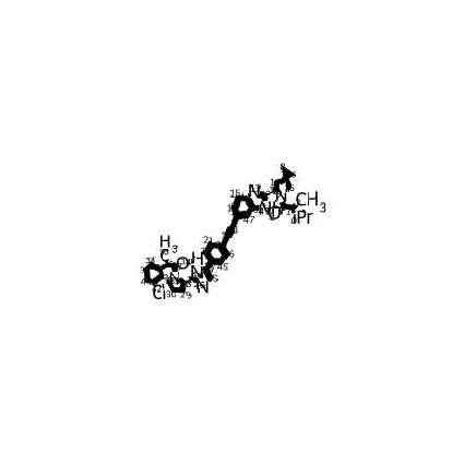 CC(C)[C@H](C)C(=O)N1CC2(CC2)C[C@H]1c1nc2ccc(C#Cc3ccc(-c4cnc([C@@H]5CCCN5C(=O)[C@H](C)c5cccc(Cl)c5)[nH]4)cc3)cc2[nH]1